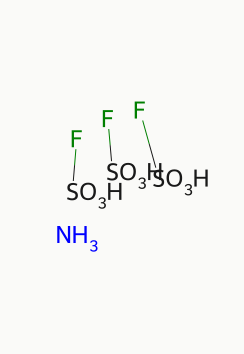 N.O=S(=O)(O)F.O=S(=O)(O)F.O=S(=O)(O)F